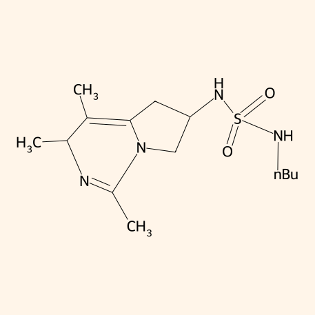 CCCCNS(=O)(=O)NC1CC2=C(C)C(C)N=C(C)N2C1